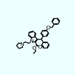 CCOC(=O)c1c(C(c2ccccc2)c2ccc(OCc3ccccc3)cc2)c2ccccc2n1CCN1CCCC1